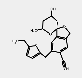 C#Cc1cc2c(cc1Cc1ccc(CC)s1)[C@]1(CC(O)CC(C)O1)OC2